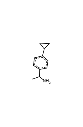 CC(N)c1ccc(C2CC2)cc1